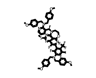 COc1ccc(CN(Cc2ccc(OC)cc2)c2ncccc2[C@@H](C)N2CCOc3nc(-c4c(F)c(N(Cc5ccc(OC)cc5)Cc5ccc(OC)cc5)c(F)c(I)c4C(F)(F)F)c(F)c4nc(SC)nc2c34)cc1